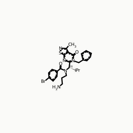 Cc1nsc2nc([C@H](C(C)C)N(CCCN)C(=O)c3ccc(Br)cc3)n(Cc3ccccc3)c(=O)c12